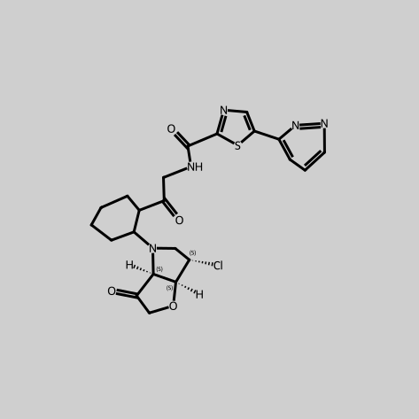 O=C(NCC(=O)C1CCCCC1N1C[C@H](Cl)[C@H]2OCC(=O)[C@H]21)c1ncc(-c2cccnn2)s1